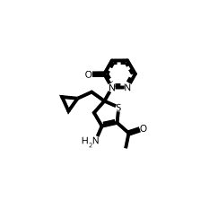 CC(=O)C1=C(N)CC(CC2CC2)(n2ncccc2=O)S1